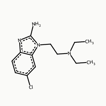 CCN(CC)CCn1c(N)nc2ccc(Cl)cc21